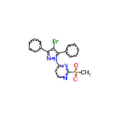 CS(=O)(=O)c1nccc(-n2nc(-c3ccccc3)c(Br)c2-c2ccccc2)n1